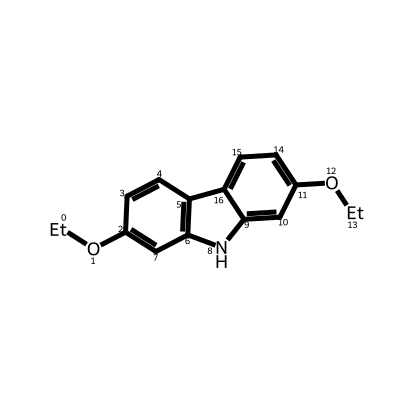 CCOc1ccc2c(c1)[nH]c1cc(OCC)ccc12